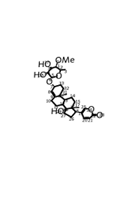 CO[C@H]1C(C)O[C@H](O[C@@H]2C=C3CCC4C(CC[C@]5(C)[C@@H](c6ccc(=O)oc6)CC[C@]45O)[C@@]3(C)CC2)C(O)C1O